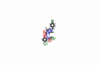 CC1CN(C(=O)COc2ccc(Cl)cc2NC(=O)CBr)C(C)CN1Cc1ccc(F)cc1